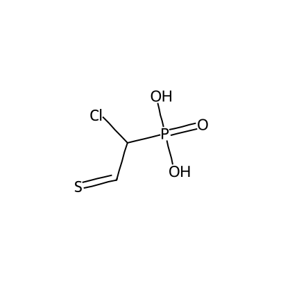 O=P(O)(O)C(Cl)C=S